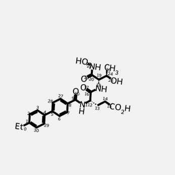 CCc1ccc(-c2ccc(C(=O)N[C@@H](CCC(=O)O)C(=O)N[C@H](C(=O)NO)[C@@H](C)O)cc2)cc1